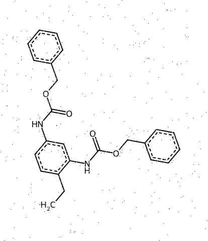 [CH2]Cc1ccc(NC(=O)OCc2ccccc2)cc1NC(=O)OCc1ccccc1